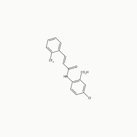 O=C(C=Cc1ccccc1C(F)(F)F)Nc1ccc(Cl)cc1C(=O)O